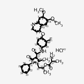 COc1cc2nccc(Oc3ccc(NC(=O)c4c(C)n(C[C@@H](C)OC(=O)C(C)N)n(-c5ccccc5)c4=O)cc3F)c2cc1OC.Cl